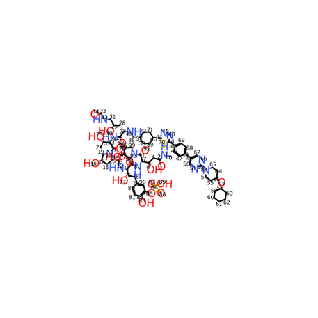 CNC(=O)C[C@@H](O)[C@H](NC(=O)[C@@H](NC(=O)[C@@H]1C[C@@H](O)CN1C(=O)[C@@H](NC(=O)[C@H](C[C@@H](O)CNC=O)NC[C@H]1CC[C@H](c2nnc(-c3ccc(-c4cnc(N5CCC(OC6CCCCC6)CC5)nc4)cc3)s2)CC1)[C@@H](C)O)[C@H](O)Cc1ccc(O)c(OS(=O)(=O)O)c1)C(=O)N1C[C@@H](O)[C@@H](C)C1